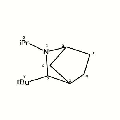 CC(C)N1C2CCC(C2)C1C(C)(C)C